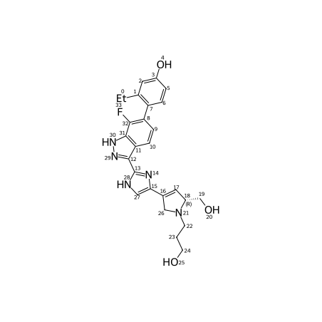 CCc1cc(O)ccc1-c1ccc2c(-c3nc(C4=C[C@H](CO)N(CCCO)C4)c[nH]3)n[nH]c2c1F